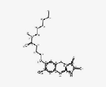 C=c1c(=O)[nH]c2n1Cc1cc(OCCCC(=O)N(C)CCCCCC)c(Cl)cc1N=2